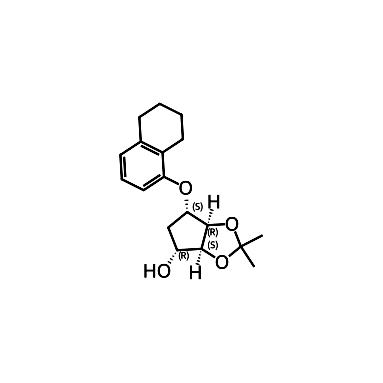 CC1(C)O[C@@H]2[C@H](O1)[C@@H](Oc1cccc3c1CCCC3)C[C@H]2O